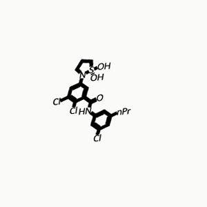 CCCc1cc(Cl)cc(NC(=O)c2cc(N3CCCS3(O)O)cc(Cl)c2Cl)c1